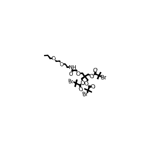 CCCOCCOCCNC(=O)COCC(COC(=O)C(C)(C)Br)(COC(=O)C(C)(C)Br)COC(=O)C(C)(C)Br